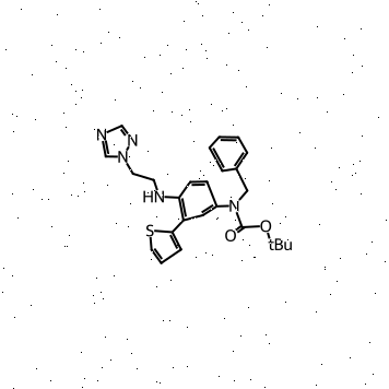 CC(C)(C)OC(=O)N(Cc1ccccc1)c1ccc(NCCn2cncn2)c(-c2cccs2)c1